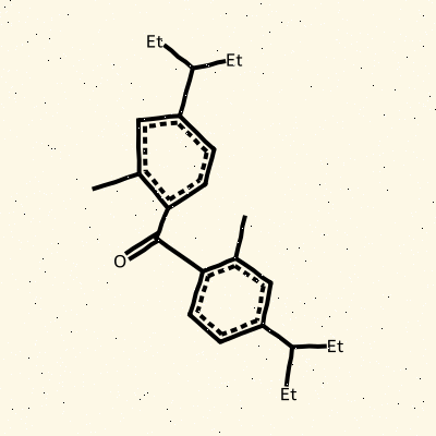 CCC(CC)c1ccc(C(=O)c2ccc(C(CC)CC)cc2C)c(C)c1